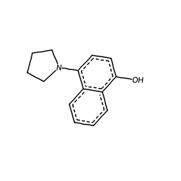 Oc1ccc(N2CCCC2)c2ccccc12